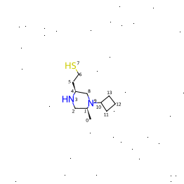 C[C@H]1CN[C@@H](CCS)CN1C1CCC1